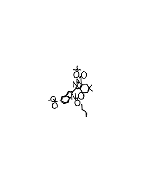 CCCCOC(=O)n1c(-c2nn(C(=O)OC(C)(C)C)c3c2CCC(C)(C)C3)cc2cc(C(=O)OC)ccc21